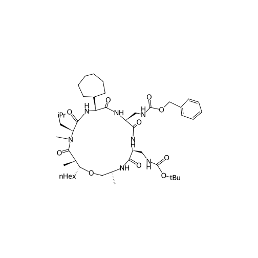 CCCCCC[C@H]1OC[C@@H](C)NC(=O)[C@H](CNC(=O)OC(C)(C)C)NC(=O)[C@H](CNC(=O)OCc2ccccc2)NC(=O)[C@H](C2CCCCCC2)NC(=O)[C@H](CC(C)C)N(C)C(=O)[C@@H]1C